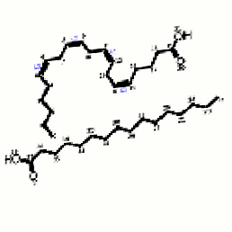 CCCCC/C=C\C/C=C\C/C=C\C/C=C\CCCC(=O)O.CCCCCCCCCCCCCCCC(=O)O